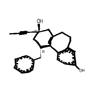 CC#C[C@]1(O)CC2=C(c3ccc(O)cc3CC2)[C@H](Cc2ccccc2)C1